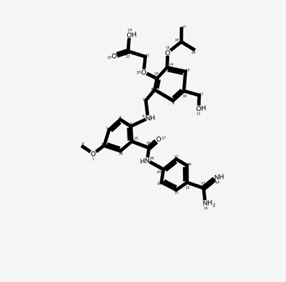 COc1ccc(NCc2cc(CO)cc(OC(C)C)c2OCC(=O)O)c(C(=O)Nc2ccc(C(=N)N)cc2)c1